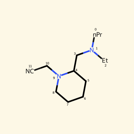 CCCN(CC)CC1CCCCN1CC#N